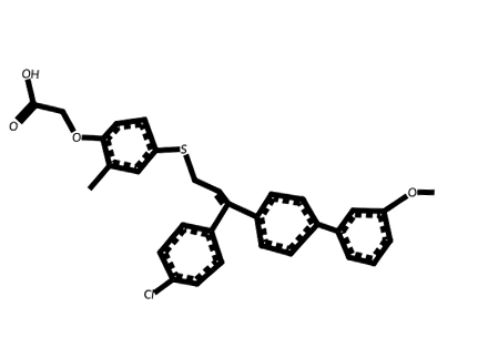 COc1cccc(-c2ccc(C(=CCSc3ccc(OCC(=O)O)c(C)c3)c3ccc(Cl)cc3)cc2)c1